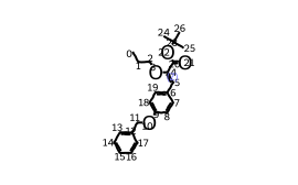 CCCO/C(=C\c1ccc(OCc2ccccc2)cc1)C(=O)OC(C)(C)C